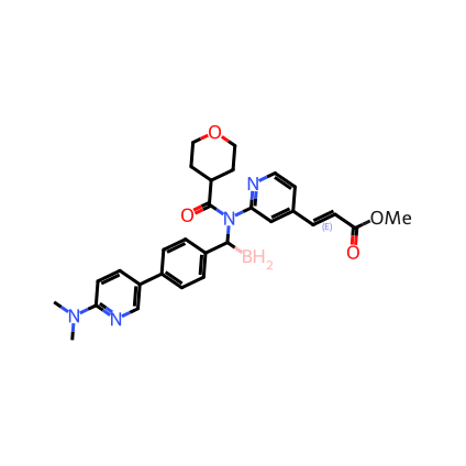 BC(c1ccc(-c2ccc(N(C)C)nc2)cc1)N(C(=O)C1CCOCC1)c1cc(/C=C/C(=O)OC)ccn1